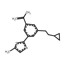 C=C(C)c1cc(CCC2CC2)cc(-c2ncc(C)s2)c1